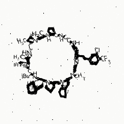 CC[C@H](C)[C@H]1CN[C@@H](CC(C)C)C(C)NCC2[C@H](C)CN2[C@@H](C(C)C)C(C)NC2(CCCC2)CNCCNC=CC(CCc2ccc(C(F)(F)F)c(Cl)c2)=NC=CN(C)C=C(CC2CCCCC2)N(C)C=C2CCCN2[C@@H](CC2CCCC2)C(C)N1